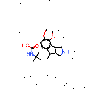 CC(C)(C)NC(=O)O.COc1ccc2c(c1OC)C1CNCC1C2C